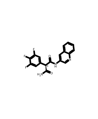 NC(=O)[C@H](C(=O)Nc1cnc2ccccc2c1)c1cc(F)c(F)c(F)c1